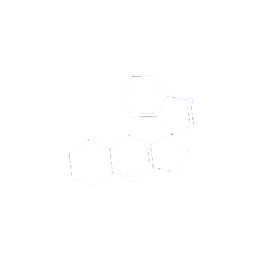 C1=Nc2ccccc2C12COc1cc3c(cc12)CCCC3